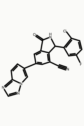 N#Cc1cc(-c2ccc3ncnn3c2)cc2c1C(c1cc(F)ccc1Cl)NC2=O